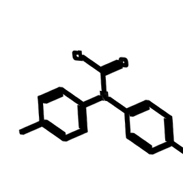 Cc1ccc(N(C(=O)Cl)c2ccc(C)cc2)cc1